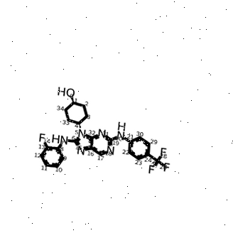 O[C@H]1CC[C@H](n2c(Nc3ccccc3F)nc3cnc(Nc4ccc(C(F)(F)F)cc4)nc32)CC1